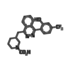 O=C(O)N1CCCC(Cc2nnc(-c3ccc(C(F)(F)F)cc3O)c3ccccc23)C1